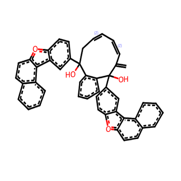 C=C1/C=C\C=C/CC(O)(c2ccc3oc4ccc5ccccc5c4c3c2)c2ccccc2C1(O)c1ccc2oc3ccc4ccccc4c3c2c1